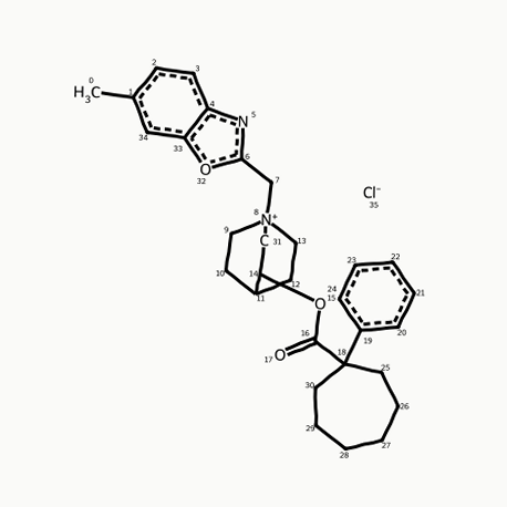 Cc1ccc2nc(C[N+]34CCC(CC3)C(OC(=O)C3(c5ccccc5)CCCCCC3)C4)oc2c1.[Cl-]